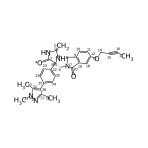 C=C1NC(=O)[C@](CN2Cc3ccc(OCC#CC)cc3C2=O)(c2ccc(-c3c(C)nn(C)c3C)cc2)N1